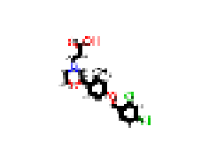 Cc1cc(OCc2ccc(Cl)cc2Cl)ccc1C1CN(CCC(=O)O)CCO1